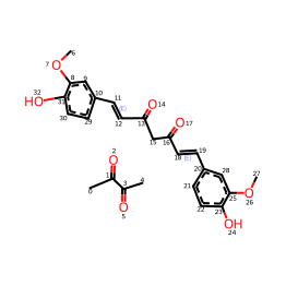 CC(=O)C(C)=O.COc1cc(/C=C/C(=O)CC(=O)/C=C/c2ccc(O)c(OC)c2)ccc1O